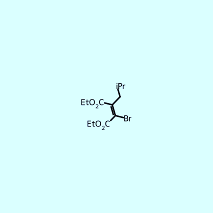 CCOC(=O)/C(Br)=C(/CC(C)C)C(=O)OCC